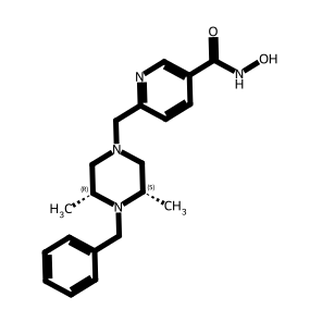 C[C@@H]1CN(Cc2ccc(C(=O)NO)cn2)C[C@H](C)N1Cc1ccccc1